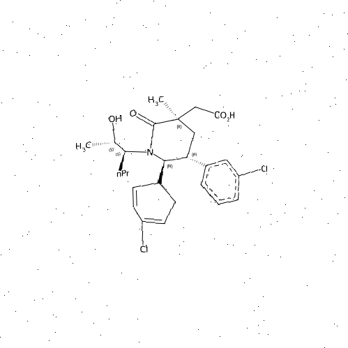 CCC[C@@H]([C@H](C)O)N1C(=O)[C@@](C)(CC(=O)O)C[C@H](c2cccc(Cl)c2)[C@H]1C1C=CC(Cl)=CC1